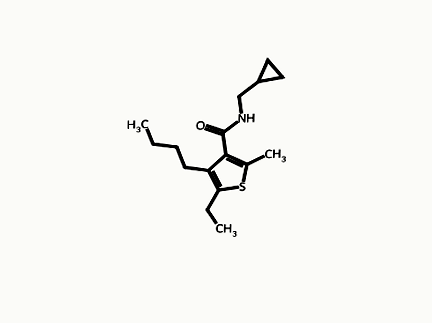 CCCCc1c(CC)sc(C)c1C(=O)NCC1CC1